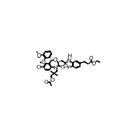 CCOC(=O)CCc1ccc(F)c(NC(=O)C[C@@H]2O[C@@H](c3cccc(OC)c3OC)c3cc(Cl)ccc3N(CC(C)(C)COC(C)=O)C2=O)c1